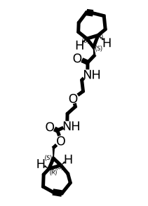 O=C(C[C@@H]1[C@@H]2CCC#CCC[C@@H]21)NCCOCCNC(=O)OC[C@@H]1[C@@H]2CCC#CCC[C@@H]21